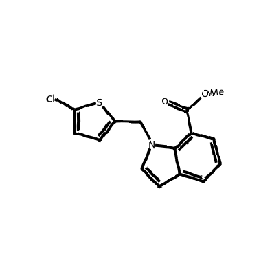 COC(=O)c1cccc2ccn(Cc3ccc(Cl)s3)c12